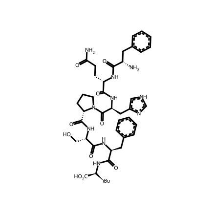 CC[C@H](C)[C@H](NC(=O)[C@H](Cc1ccccc1)NC(=O)[C@H](CO)NC(=O)[C@@H]1CCCN1C(=O)[C@H](Cc1c[nH]cn1)NC(=O)[C@H](CCC(N)=O)NC(=O)[C@@H](N)Cc1ccccc1)C(=O)O